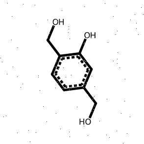 OCc1ccc(CO)c(O)c1